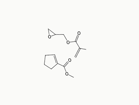 C=C(C)C(=O)OCC1CO1.COC(=O)C1=CCCC1